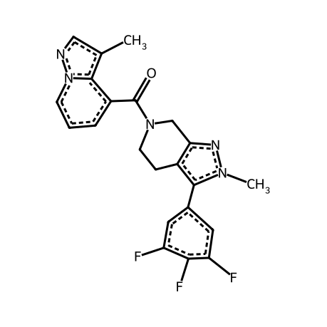 Cc1cnn2cccc(C(=O)N3CCc4c(nn(C)c4-c4cc(F)c(F)c(F)c4)C3)c12